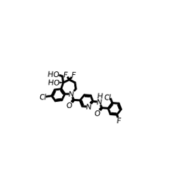 O=C(Nc1ccc(C(=O)N2CCC(F)(F)[C@@](O)(CO)c3cc(Cl)ccc32)cn1)c1cc(F)ccc1Cl